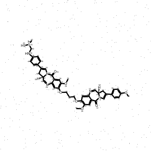 COc1ccc(C2=CN3C(=O)c4cc(OC)c(OCCCOc5cc6c(cc5OC)C(=O)N5C=C(c7ccc(NC[SH](C)S)cc7)C[C@H]5C=N6)cc4N=C[C@@H]3C2)cc1